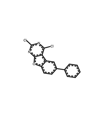 Clc1nc(Cl)c2c(n1)oc1ccc(-c3ccccc3)cc12